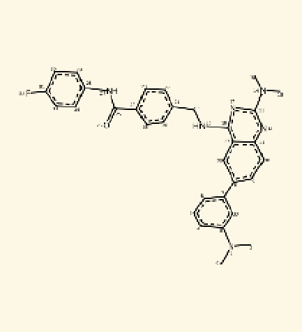 CN(C)c1cccc(-c2ccc3nc(N(C)C)nc(NCc4ccc(C(=O)Nc5ccc(F)cc5)cc4)c3c2)c1